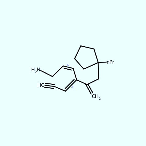 C#C/C=C(\C=C/CN)C(=C)CC1(CCC)CCCC1